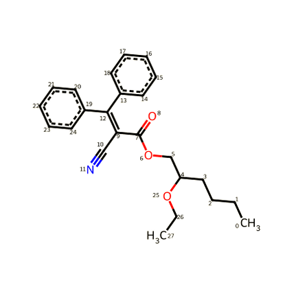 CCCCC(COC(=O)C(C#N)=C(c1ccccc1)c1ccccc1)OCC